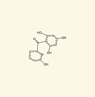 O=C(c1cccc(O)n1)c1c(O)cc(O)cc1O